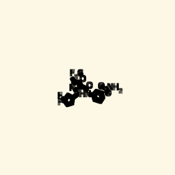 Cc1nn(CC2CCC(F)(F)C2)c(C(=O)Nc2cccc(S(N)(=O)=O)c2)c1OC(F)(F)F